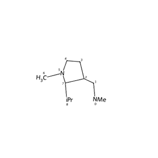 CNCC1CCN(C)C1C(C)C